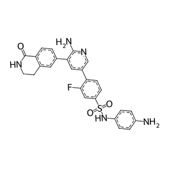 Nc1ccc(NS(=O)(=O)c2ccc(-c3cnc(N)c(-c4ccc5c(c4)CCNC5=O)c3)c(F)c2)cc1